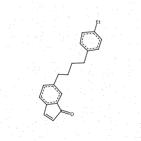 CCc1ccc(CCCCc2ccc3c(c2)C(=O)C=C3)cc1